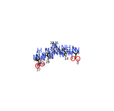 COC(=O)c1cnn(C)c1/N=N/c1c(C)nn(-c2nc(N(C)C)nc(-n3nc(C)c(/N=N/c4c(C(=O)OC)cnn4C)c3N)n2)c1N